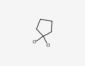 ClC1(Cl)CCCC1